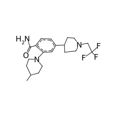 CC1CCN(c2cc(C3CCN(CC(F)(F)F)CC3)ccc2C(N)=O)CC1